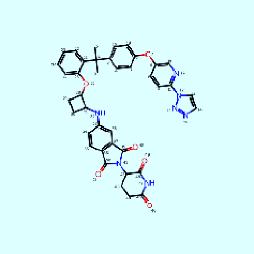 CC(C)(c1ccc(Oc2ccc(-n3ccnn3)nc2)cc1)c1ccccc1OC1CCC1Nc1ccc2c(c1)C(=O)N(C1CCC(=O)NC1=O)C2=O